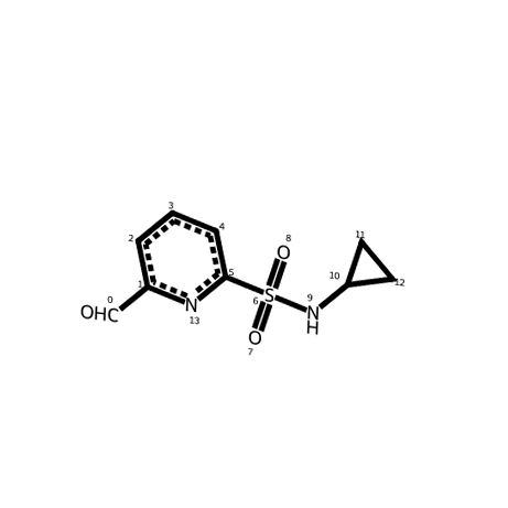 O=Cc1cccc(S(=O)(=O)NC2CC2)n1